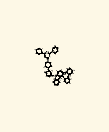 c1ccc(-c2nc(-c3ccccc3)nc(-c3ccc(-c4cccc(-n5c6ccccc6c6c7c8ccccc8c8ccccc8c7ccc65)c4)cc3)n2)cc1